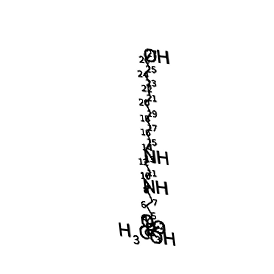 CP(=O)(O)OCCCCNCCCNCCCCCCCCCCCCCO